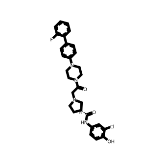 O=C(Nc1ccc(O)c(Cl)c1)[C@@H]1CCN(CC(=O)N2CCN(c3ccc(-c4ccccc4F)cc3)CC2)C1